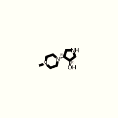 CN1CCN([C@@H]2CNC[C@H]2O)CC1